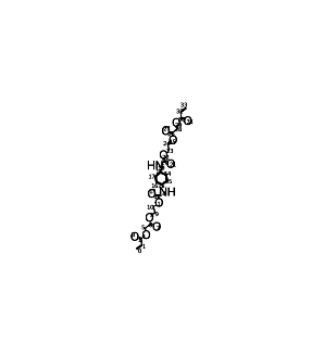 C=CC(=O)OCC(=O)OCCOC(=O)Nc1ccc(NC(=O)OCCOC(=O)COC(=O)C=C)cc1